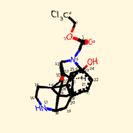 O=C(OCC(Cl)(Cl)Cl)N1C[C@H]2CC34CCC1C2C31CCNC4Cc2ccc(O)cc21